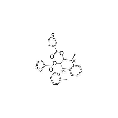 Cc1ccccc1[C@H]1c2ccccc2[C@H](C)C(OC(=O)c2ccsc2)C1OC(=O)c1ccsc1